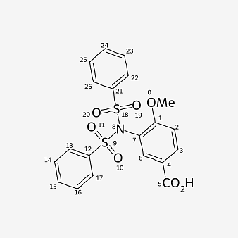 COc1ccc(C(=O)O)cc1N(S(=O)(=O)c1ccccc1)S(=O)(=O)c1ccccc1